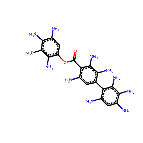 Cc1c(N)c(N)cc(OC(=O)c2c(N)cc(-c3c(N)cc(N)c(N)c3N)c(N)c2N)c1N